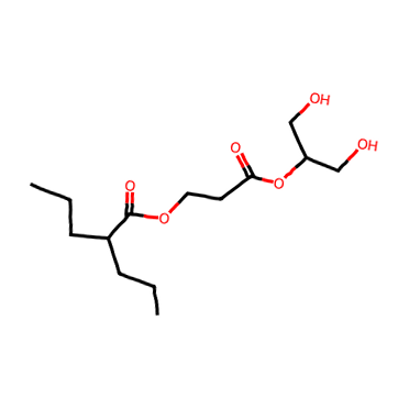 CCCC(CCC)C(=O)OCCC(=O)OC(CO)CO